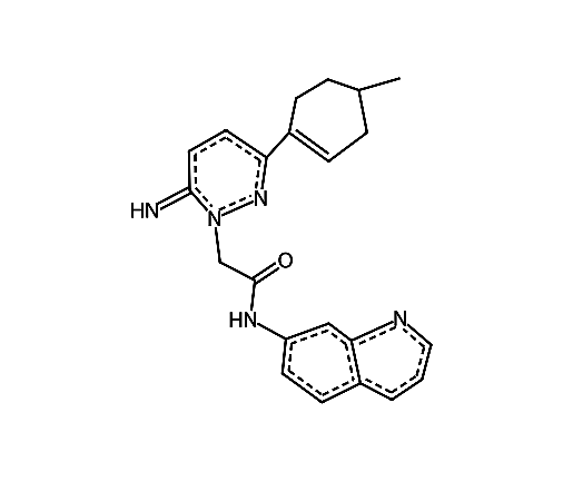 CC1CC=C(c2ccc(=N)n(CC(=O)Nc3ccc4cccnc4c3)n2)CC1